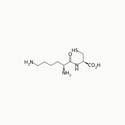 NCCCC[C@H](N)C(=O)N[C@@H](CS)C(=O)O